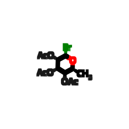 CC(=O)O[C@@H]1[C@H](OC(C)=O)[C@H](Br)O[C@H](C)[C@H]1OC(C)=O